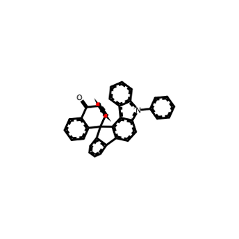 O=C1c2ccccc2C2(c3ccccc31)c1ccccc1-c1ccc3c(c12)c1ccccc1n3-c1ccccc1